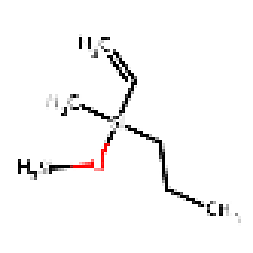 C=C[Si](C)(CCC)O[SiH3]